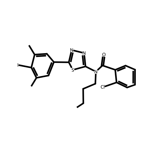 CCCCN(C(=O)c1ccccc1Cl)c1nnc(-c2cc(C)c(I)c(C)c2)s1